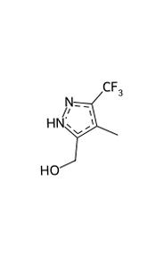 Cc1c(C(F)(F)F)n[nH]c1CO